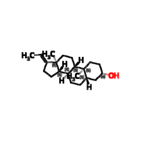 CC=C1CC[C@H]2[C@@H]3CC[C@H]4C[C@@H](O)CC[C@]4(C)[C@H]3CC[C@]12C